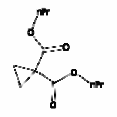 CCCOC(=O)C1(C(=O)OCCC)CC1